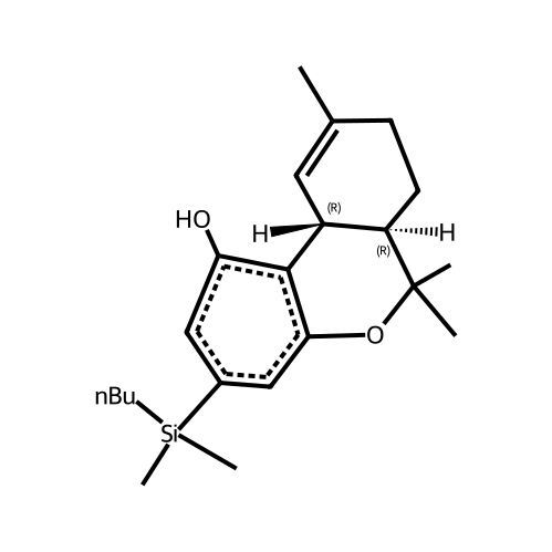 CCCC[Si](C)(C)c1cc(O)c2c(c1)OC(C)(C)[C@@H]1CCC(C)=C[C@@H]21